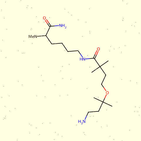 CNC(CCCCNC(=O)C(C)(C)CCOC(C)(C)CCN)C(N)=O